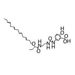 CCC=CCC=CCC=CCC=CCCOC(CC)C(=O)NCCNC(=O)Nc1ccc(O)c(C(=O)O)c1